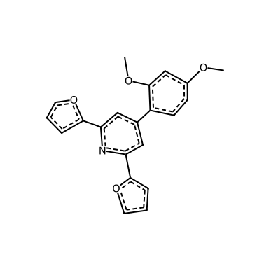 COc1ccc(-c2cc(-c3ccco3)nc(-c3ccco3)c2)c(OC)c1